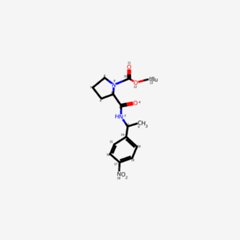 CC(NC(=O)C1CCCN1C(=O)OC(C)(C)C)c1ccc([N+](=O)[O-])cc1